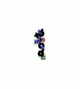 Cc1ccc2c(n1)C(C)(C)CN2C(=O)NC1CCN(Cc2cccc(Cl)c2)CC1